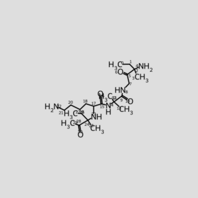 CCC(C)(N)C(=O)CNC(=O)C(C)(C)NC(=O)C(CCCCN)NC(C)(CC)C(C)=O